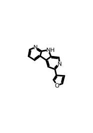 c1cnc2[nH]c3cnc(-c4ccoc4)cc3c2c1